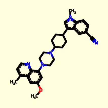 COc1cc(N2CCN(C3CCC(c4cn(C)c5ccc(C#N)cc45)CC3)CC2)c2nccc(C)c2c1